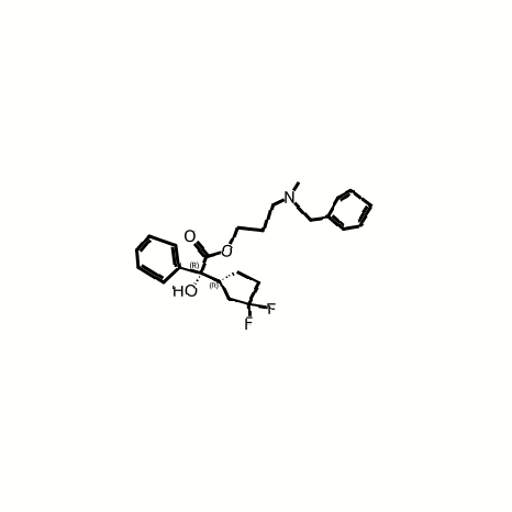 CN(CCCOC(=O)[C@](O)(c1ccccc1)[C@@H]1CCC(F)(F)C1)Cc1ccccc1